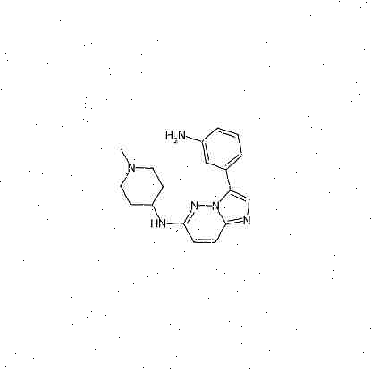 CN1CCC(Nc2ccc3ncc(-c4cccc(N)c4)n3n2)CC1